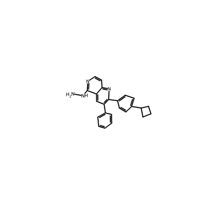 NNc1nccc2nc(-c3ccc([C]4CCC4)cc3)c(-c3ccccc3)cc12